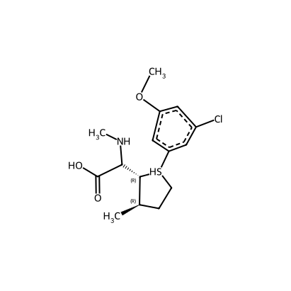 CNC(C(=O)O)[C@H]1[C@H](C)CC[SH]1c1cc(Cl)cc(OC)c1